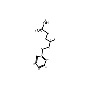 CC(CCC(=O)O)CCc1ccccc1